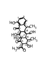 CC1c2cccc(O)c2C(=O)C2=C(O)C3(O)C(=O)C(C(N)=O)C(O)C(C)C3C(O)C21